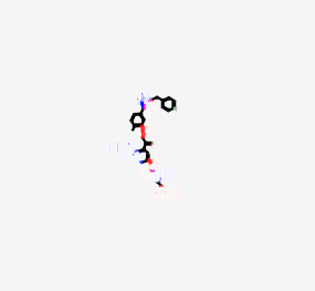 Cc1ccc(-c2nnc(Cc3ccc(Cl)cc3)o2)cc1OCc1csc2c(OC(=O)NCCO)cnc(N)c12